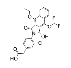 CCOc1c2c(c(OC(F)F)c3ccccc13)C(O)N(c1ccc(CC(=O)O)cc1Cl)C2=O